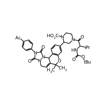 CC(=O)c1ccc(-n2c(=O)n3n(c2=O)C2C(=CC3)C(C)(C)Oc3cc(C4CN(C(=O)C(NC(=O)OC(C)(C)C)C(C)C)CCN4C(=O)O)ccc32)cc1